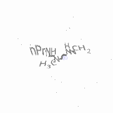 C=NN/C=C/CN(C)CCNCCC